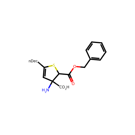 CCCCCCCCCCC1=CC(N)(C(=O)O)C(C(=O)OCc2ccccc2)S1